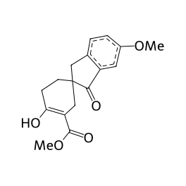 COC(=O)C1=C(O)CCC2(C1)Cc1ccc(OC)cc1C2=O